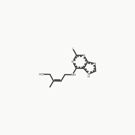 CC(=CCNc1nc(I)nc2nc[nH]c12)CO